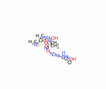 Cc1ncsc1-c1ccc([C@H](C)NC(=O)[C@@H]2C[C@@H](O)CN2C(=O)[C@@H](c2cc(OCCN3CCC(N4CC(c5cc6cc(-c7ccccc7O)nnc6[nH]5)C4)CC3)no2)C(C)C)cc1